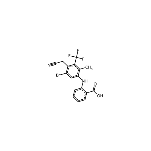 Cc1c(Nc2ccccc2C(=O)O)cc(Br)c(CC#N)c1C(F)(F)F